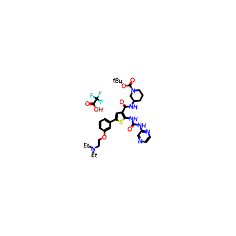 CCN(CC)CCOc1cccc(-c2cc(C(=O)NC3CCCN(C(=O)OC(C)(C)C)C3)c(NC(=O)Nc3cnccn3)s2)c1.O=C(O)C(F)(F)F